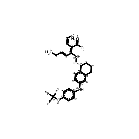 C\C=C/C(C(=O)O)=C(\C=C\CC)NC[C@@H]1CCCc2cc(Nc3ccc(OC(F)(F)F)cc3)ccc21